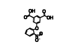 O=C(O)c1cc(Oc2ccccc2[N+](=O)[O-])cc(C(=O)O)c1